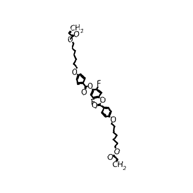 C=CC(=O)OCCCCCCCOc1ccc(C(=O)Oc2cc(F)c(OC(=O)c3ccc(OCCCCCCCOC(=O)C=C)cc3)cc2F)cc1